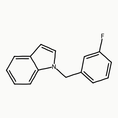 Fc1cccc(Cn2ccc3ccccc32)c1